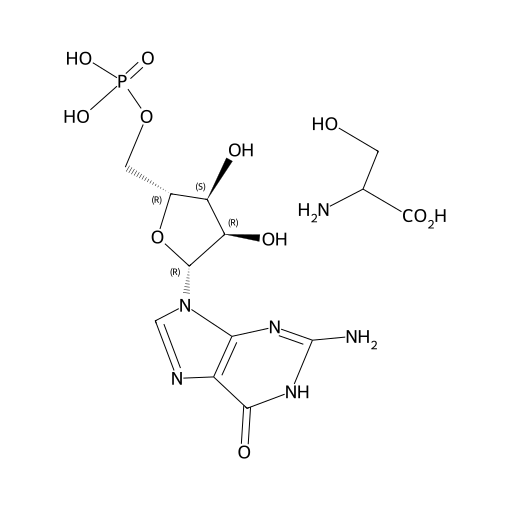 NC(CO)C(=O)O.Nc1nc2c(ncn2[C@@H]2O[C@H](COP(=O)(O)O)[C@@H](O)[C@H]2O)c(=O)[nH]1